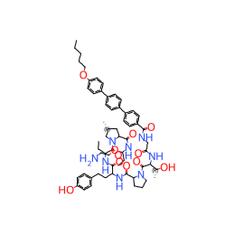 CCCCCOc1ccc(-c2ccc(-c3ccc(C(=O)NCC(=O)NC(C(=O)N4CCCC4C(=O)NC(CCc4ccc(O)cc4)C(=O)NC(CC)C(=O)N4C[C@H](C)CC4C(=O)NC(CC)OCCN)[C@@H](C)O)cc3)cc2)cc1